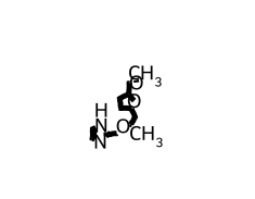 COCC1CCC(CC(C)OCc2ncc[nH]2)O1